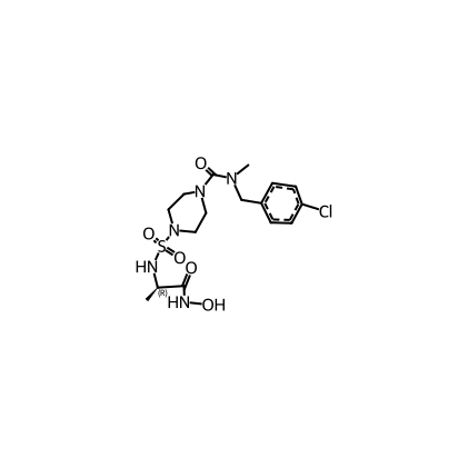 C[C@@H](NS(=O)(=O)N1CCN(C(=O)N(C)Cc2ccc(Cl)cc2)CC1)C(=O)NO